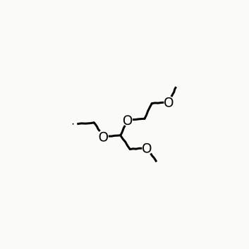 [CH2]COC(COC)OCCOC